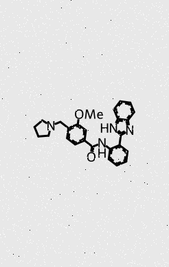 COc1cc(C(=O)Nc2ccccc2-c2nc3ccccc3[nH]2)ccc1CN1CCCC1